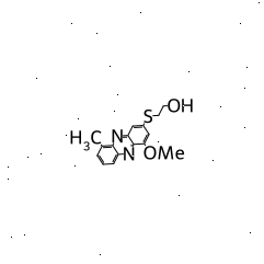 COc1cc(SCCO)cc2nc3c(C)cccc3nc12